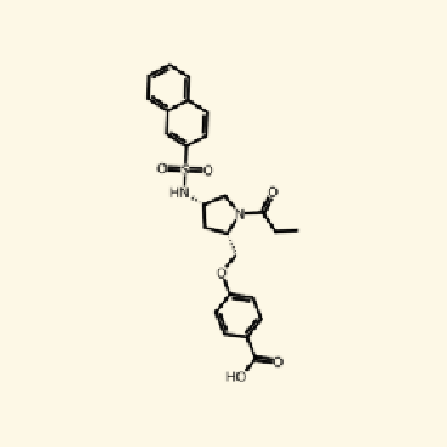 CCC(=O)N1C[C@@H](NS(=O)(=O)c2ccc3ccccc3c2)C[C@H]1COc1ccc(C(=O)O)cc1